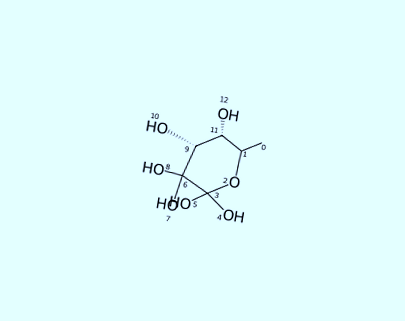 CC1OC(O)(O)C(O)(O)[C@H](O)[C@@H]1O